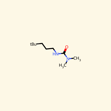 CN(C)C(=O)NCCCC(C)(C)C